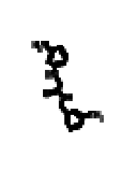 Cc1cccc(CNC(=O)CNc2cccc(N)c2)c1